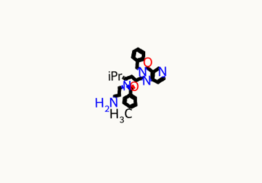 Cc1ccc(C(=O)N(CCCN)C(CCc2nc3ccncc3c(=O)n2Cc2ccccc2)C(C)C)cc1